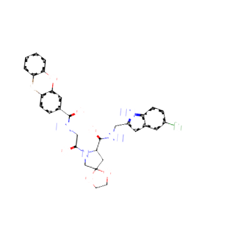 O=C(NCC(=O)N1CC2(CC1C(=O)NCc1cc3cc(Br)ccc3[nH]1)OCCO2)c1ccc2c(c1)Oc1ccccc1S2